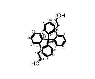 OCCOc1ccccc1C(c1ccccc1)(c1ccccc1)c1ccccc1OCCO